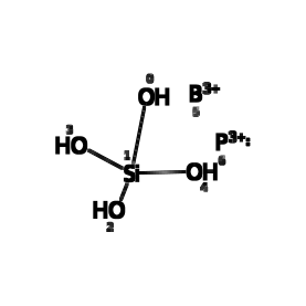 O[Si](O)(O)O.[B+3].[P+3]